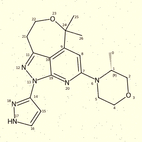 C[C@@H]1COCCN1c1cc2c3c(nn(-c4cc[nH]n4)c3n1)CCOC2(C)C